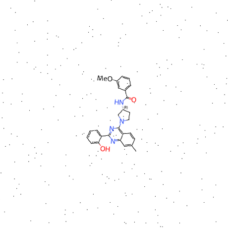 COc1cccc(C(=O)N[C@@H]2CCN(c3nc(-c4ccccc4O)nc4cc(C)ccc34)C2)c1